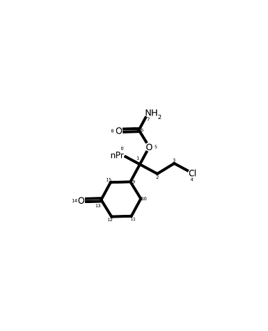 CCCC(CCCl)(OC(N)=O)C1CCCC(=O)C1